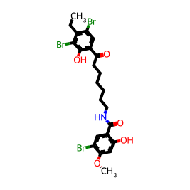 CCc1c(Br)cc(C(=O)CCCCCCNC(=O)c2cc(Br)c(OC)cc2O)c(O)c1Br